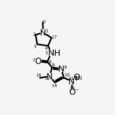 CN1CCC(NC(=O)c2nc([N+](=O)[O-])cn2C)C1